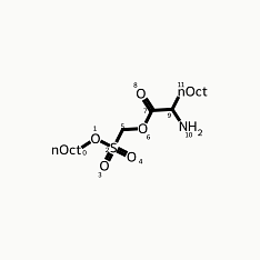 CCCCCCCCOS(=O)(=O)COC(=O)C(N)CCCCCCCC